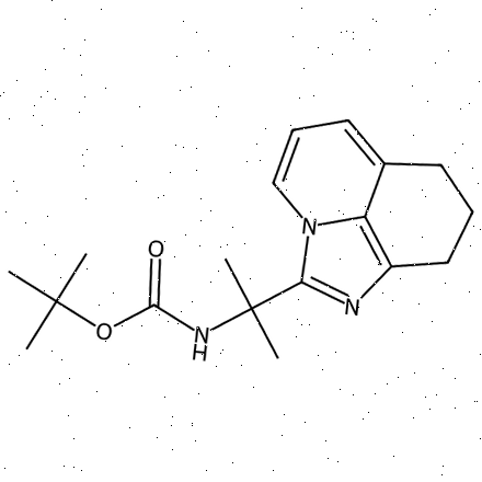 CC(C)(C)OC(=O)NC(C)(C)c1nc2c3c(cccn13)CCC2